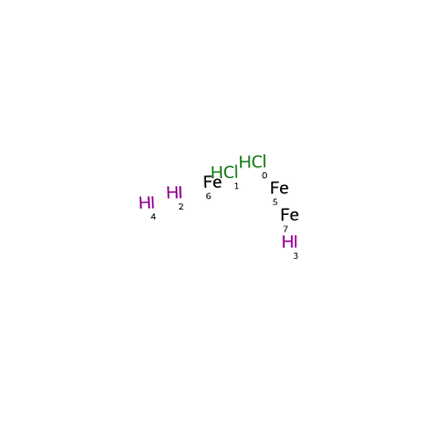 Cl.Cl.I.I.I.[Fe].[Fe].[Fe]